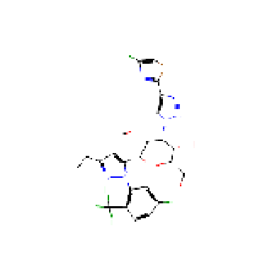 CCc1cc([C@@H]2O[C@H](CO)[C@H](O)[C@H](n3cc(-c4nc(Cl)cs4)nn3)[C@H]2OC)n(-c2cc(Cl)ccc2C(F)(F)F)n1